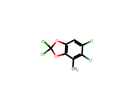 Cc1c(Cl)c(Cl)cc2c1OC(Cl)(Cl)O2